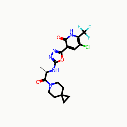 C[C@H](Nc1nnc(-c2cc(Cl)c(C(F)(F)F)[nH]c2=O)o1)C(=O)N1CCC2(CC1)CC2